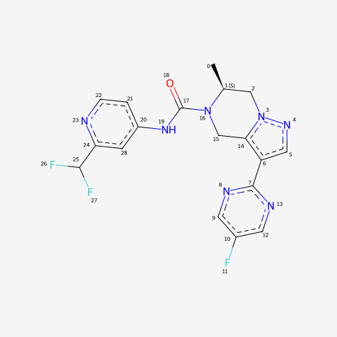 C[C@H]1Cn2ncc(-c3ncc(F)cn3)c2CN1C(=O)Nc1ccnc(C(F)F)c1